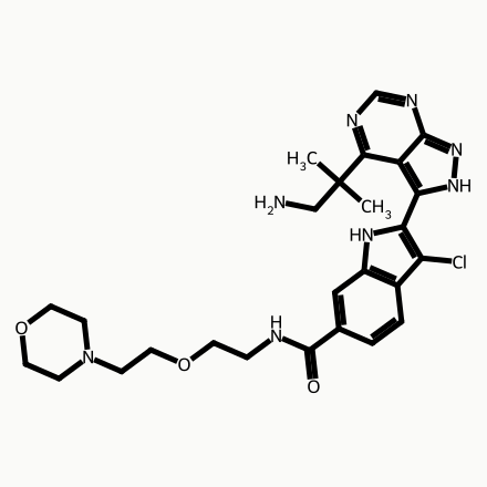 CC(C)(CN)c1ncnc2n[nH]c(-c3[nH]c4cc(C(=O)NCCOCCN5CCOCC5)ccc4c3Cl)c12